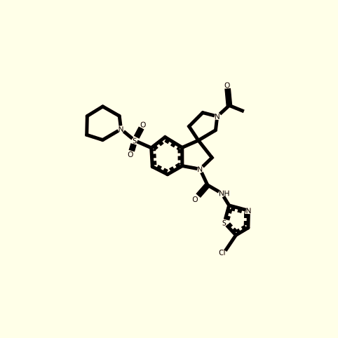 CC(=O)N1CCC2(C1)CN(C(=O)Nc1ncc(Cl)s1)c1ccc(S(=O)(=O)N3CCCCC3)cc12